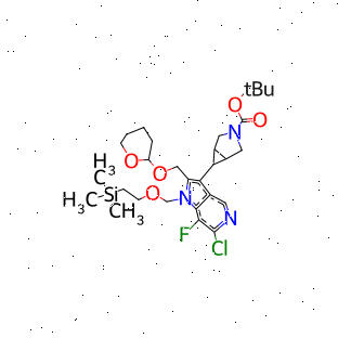 CC(C)(C)OC(=O)N1CC2C(C1)C2c1c(COC2CCCCO2)n(COCC[Si](C)(C)C)c2c(F)c(Cl)ncc12